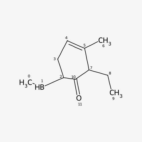 CBC1CC=C(C)C(CC)C1=O